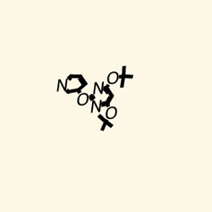 CC(C)(C)Oc1cc(OC(C)(C)C)nc(OC2C=CC=NC2)n1